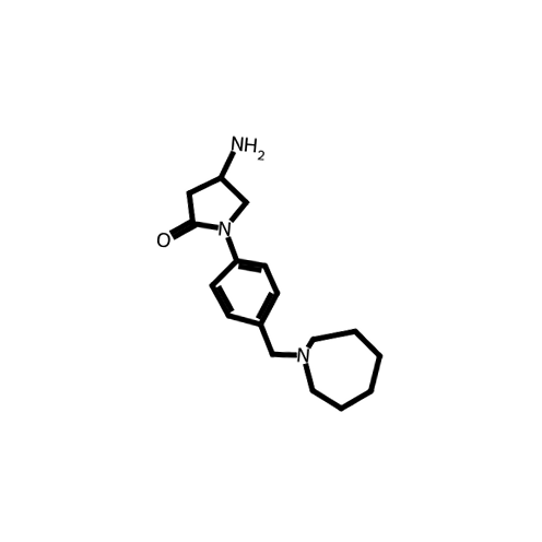 NC1CC(=O)N(c2ccc(CN3CCCCCC3)cc2)C1